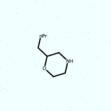 CC[CH]CC1CNCCO1